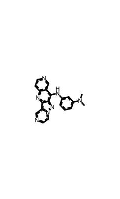 CN(C)c1cccc(Nc2c3cnccc3nc3c2nn2ccncc32)c1